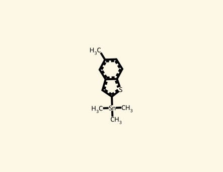 Cc1ccc2s[c]([Sn]([CH3])([CH3])[CH3])cc2c1